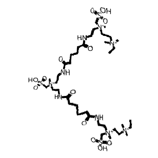 CC[N+](C)(C)CC[N+](C)(CCNC(=O)CCCCC(=O)NCC[N+](C)(CCNC(=O)CCCCC(=O)NCC[N+](C)(CC[N+](C)(C)CC)CS(=O)(=O)O)CS(=O)(=O)O)CS(=O)(=O)O